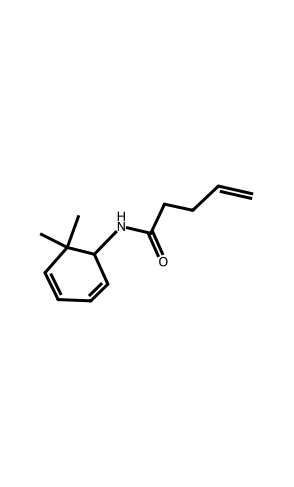 C=CCCC(=O)NC1C=CC=CC1(C)C